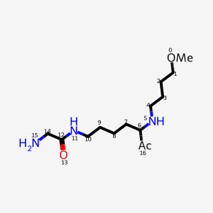 COCCCCNC(CCCCNC(=O)CN)C(C)=O